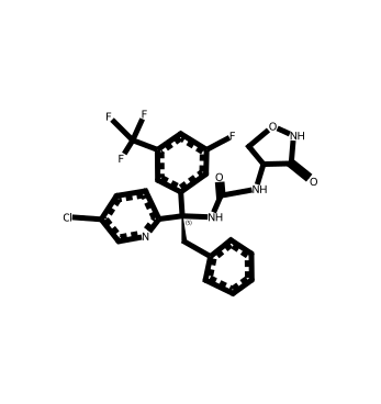 O=C(NC1CONC1=O)N[C@@](Cc1ccccc1)(c1cc(F)cc(C(F)(F)F)c1)c1ccc(Cl)cn1